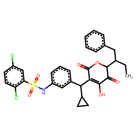 CCC(Cc1ccccc1)C1OC(=O)C(C(c2cccc(NS(=O)(=O)c3cc(Cl)ccc3Cl)c2)C2CC2)=C(O)C1=O